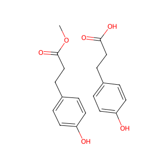 COC(=O)CCc1ccc(O)cc1.O=C(O)CCc1ccc(O)cc1